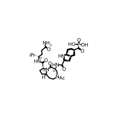 CC(=O)N1CC[C@H]2CC[C@@H](C(=O)N[C@@H](CCC(N)=O)C(C)C)N2C(=O)[C@@H](NC(=O)c2cc3cc(C(=O)P(=O)(O)O)ccc3[nH]2)C1